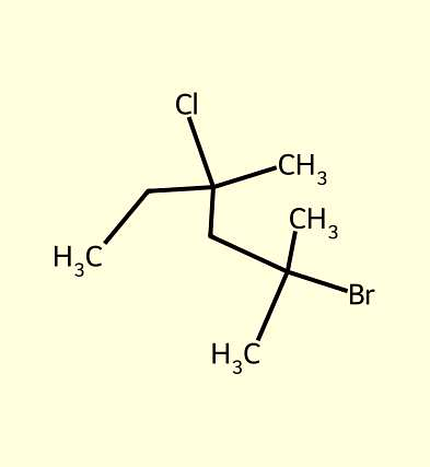 CCC(C)(Cl)CC(C)(C)Br